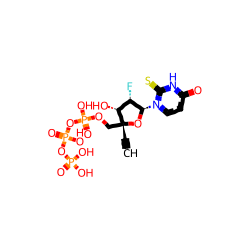 C#C[C@]1(COP(=O)(O)OP(=O)(O)OP(=O)(O)O)O[C@@H](n2ccc(=O)[nH]c2=S)[C@@H](F)[C@H]1O